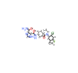 Cc1cc(N2CCC[C@]3(CC[C@@H](NC(=O)c4[nH]cnc4C(N)=O)CC3)C2=O)c(Cl)cc1F